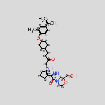 C=C(C)c1ccc(OC2CCC(CCC(=O)CNC3=C(C(=N)C(=O)N4CCO[C@H](CO)C4)CCC3)CC2)c(C)c1